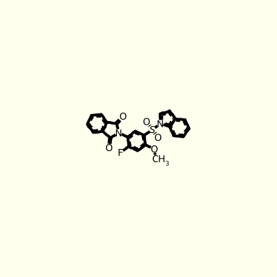 COc1cc(F)c(N2C(=O)c3ccccc3C2=O)cc1S(=O)(=O)n1ccc2ccccc21